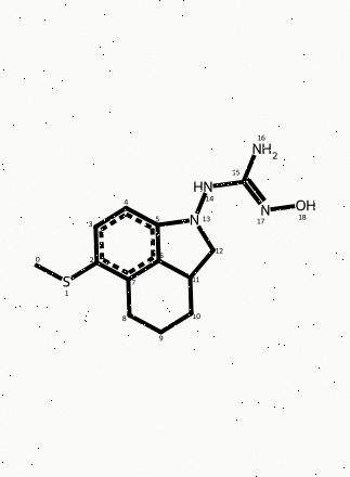 CSc1ccc2c3c1CCCC3CN2NC(N)=NO